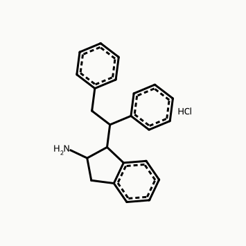 Cl.NC1Cc2ccccc2C1C(Cc1ccccc1)c1ccccc1